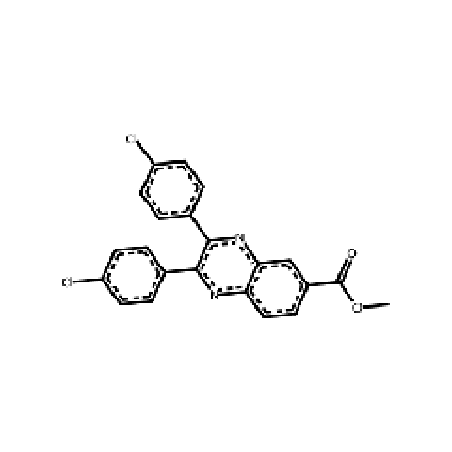 COC(=O)c1ccc2nc(-c3ccc(Cl)cc3)c(-c3ccc(Cl)cc3)nc2c1